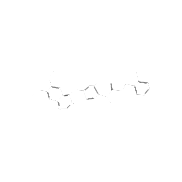 COc1cc2ncnc(Oc3ccc(N(C)C(=O)OCc4ccccc4C)c(Cl)c3)c2cc1OC